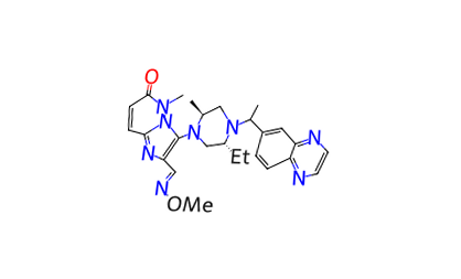 CC[C@@H]1CN(c2c(C=NOC)nc3ccc(=O)n(C)n23)[C@@H](C)CN1C(C)c1ccc2nccnc2c1